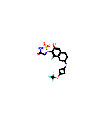 O=C1CN(c2c(O)cc3c(c2F)CC(NC2CC(OC(F)(F)F)C2)CC3)S(=O)(=O)N1